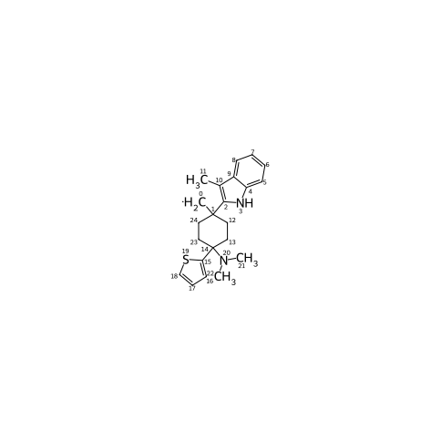 [CH2]C1(c2[nH]c3ccccc3c2C)CCC(c2cccs2)(N(C)C)CC1